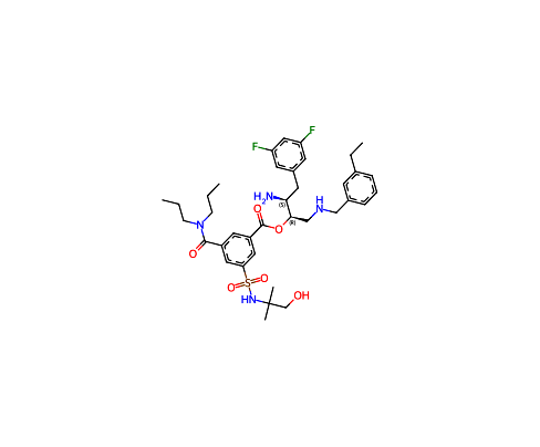 CCCN(CCC)C(=O)c1cc(C(=O)O[C@H](CNCc2cccc(CC)c2)[C@@H](N)Cc2cc(F)cc(F)c2)cc(S(=O)(=O)NC(C)(C)CO)c1